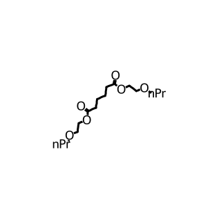 CCCOCCOC(=O)CCCCC(=O)OCCOCCC